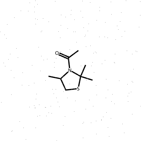 CC(=O)N1C(C)CSC1(C)C